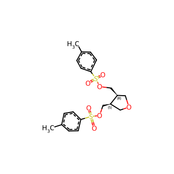 Cc1ccc(S(=O)(=O)OC[C@H]2COC[C@H]2COS(=O)(=O)c2ccc(C)cc2)cc1